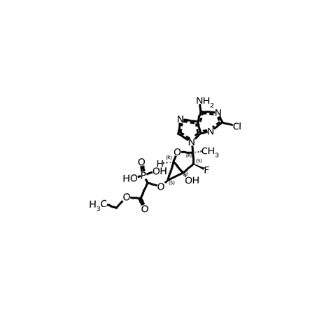 CCOC(=O)C(O[C@H]1[C@H]2O[C@@](C)(n3cnc4c(N)nc(Cl)nc43)[C@@H](F)[C@]21O)P(=O)(O)O